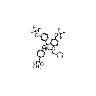 COC(=O)c1ccc(CC(NC(=O)CC2CCCC2)(c2cccc(OC(F)(F)F)c2)c2cccc(OC(F)(F)F)c2)cc1